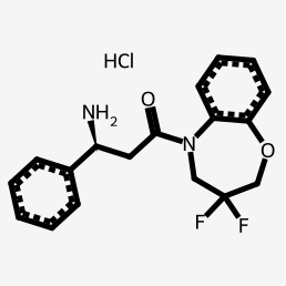 Cl.N[C@@H](CC(=O)N1CC(F)(F)COc2ccccc21)c1ccccc1